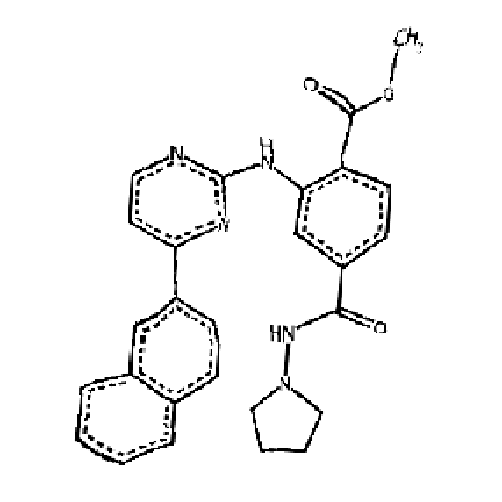 COC(=O)c1ccc(C(=O)NN2CCCC2)cc1Nc1nccc(-c2ccc3ccccc3c2)n1